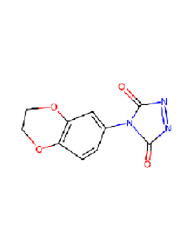 O=C1N=NC(=O)N1c1ccc2c(c1)OCCO2